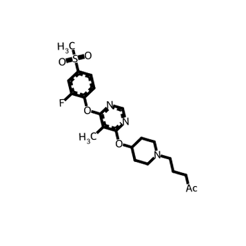 CC(=O)CCCN1CCC(Oc2ncnc(Oc3ccc(S(C)(=O)=O)cc3F)c2C)CC1